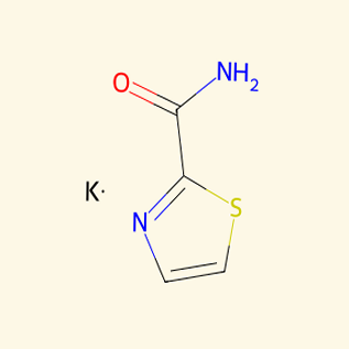 NC(=O)c1nccs1.[K]